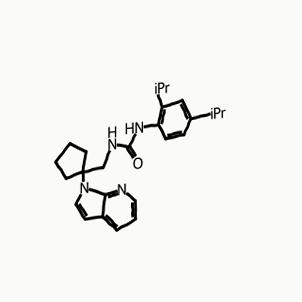 CC(C)c1ccc(NC(=O)NCC2(n3ccc4cccnc43)CCCC2)c(C(C)C)c1